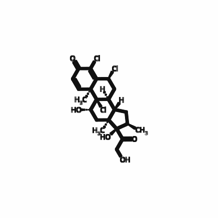 C[C@@H]1C[C@H]2[C@@H]3C[C@H](Cl)C4=C(Cl)C(=O)C=C[C@]4(C)[C@@]3(Cl)[C@@H](O)C[C@]2(C)[C@@]1(O)C(=O)CO